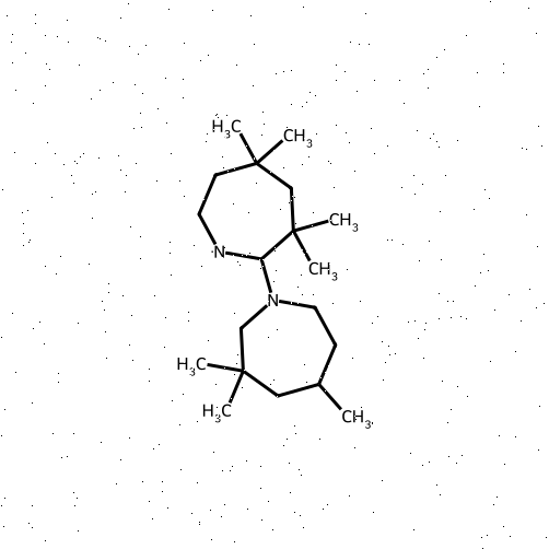 CC1CCN(C2[N]CCC(C)(C)CC2(C)C)CC(C)(C)C1